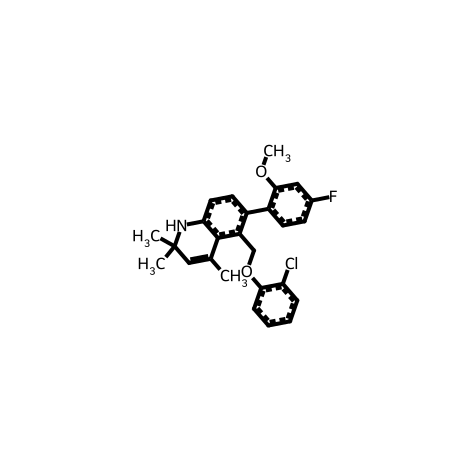 COc1cc(F)ccc1-c1ccc2c(c1COc1ccccc1Cl)C(C)=CC(C)(C)N2